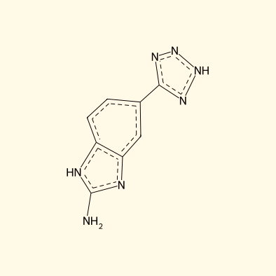 Nc1nc2cc(-c3nn[nH]n3)ccc2[nH]1